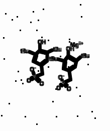 CC(C)(C)c1cc(CS(=O)(=O)[O-])cc(C(C)(C)C)c1O.CC(C)(C)c1cc(CS(=O)(=O)[O-])cc(C(C)(C)C)c1O.[Mg+2]